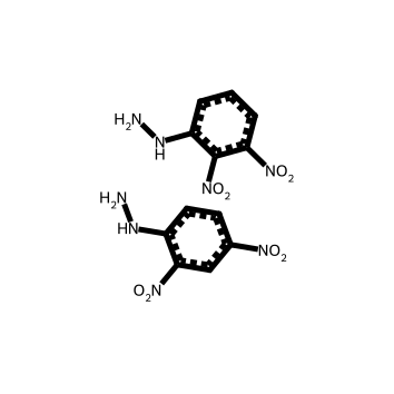 NNc1ccc([N+](=O)[O-])cc1[N+](=O)[O-].NNc1cccc([N+](=O)[O-])c1[N+](=O)[O-]